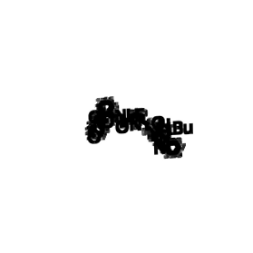 CC(C)(C)OC(=O)N(CCc1nc(C(=O)NCc2ccccc2S(=O)(=O)N2CCOCC2)cs1)Cc1nc2ccccc2[nH]1